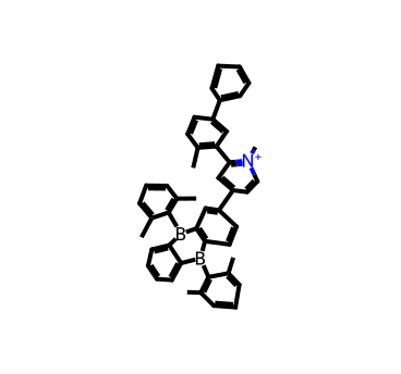 Cc1ccc(-c2ccccc2)cc1-c1cc(-c2ccc3c(c2)B(c2c(C)cccc2C)c2ccccc2B3c2c(C)cccc2C)cc[n+]1C